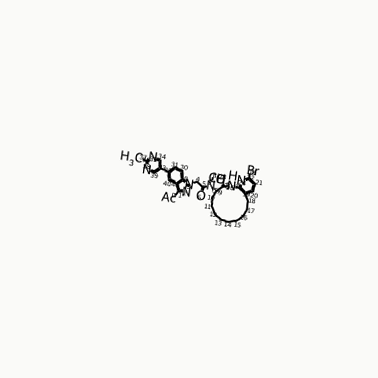 CC(=O)c1nn(CC(=O)N(C)[C@H]2CCCCCCCCCc3ccc(Br)nc3NC2=O)c2ccc(-c3cnc(C)nc3)cc12